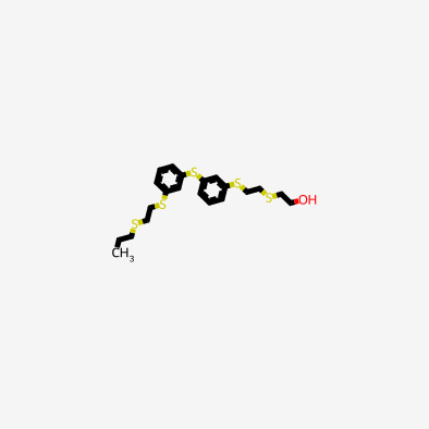 CCCSCCSc1cccc(Sc2cccc(SCCSCCO)c2)c1